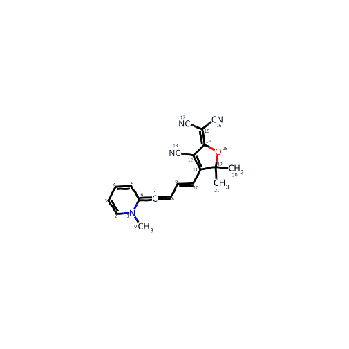 CN1C=CC=CC1=C=CC=CC1=C(C#N)C(=C(C#N)C#N)OC1(C)C